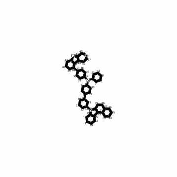 c1ccc(N(c2ccc(-c3cccc(-n4c5ccccc5c5c6ccccc6ccc54)c3)cc2)c2ccc(-c3cccc4oc5cnccc5c34)cc2)cc1